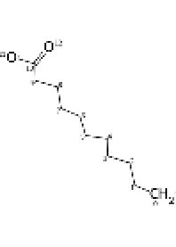 [CH2]CCCCCCCCCC([O])=O